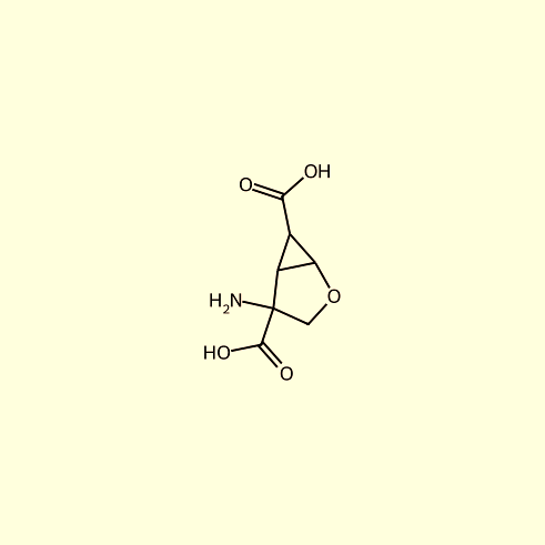 NC1(C(=O)O)COC2C(C(=O)O)C21